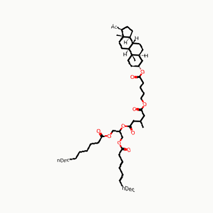 CCCCCCCCCCCCCCCC(=O)OCC(COC(=O)CCCCCCCCCCCCCCC)OC(=O)CC(C)CC(=O)OCCCCC(=O)O[C@@H]1CC[C@@]2(C)[C@@H](CC[C@@H]3[C@@H]2CC[C@]2(C)[C@@H](C(C)=O)CC[C@@H]32)C1